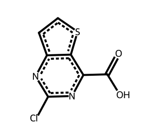 O=C(O)c1nc(Cl)nc2ccsc12